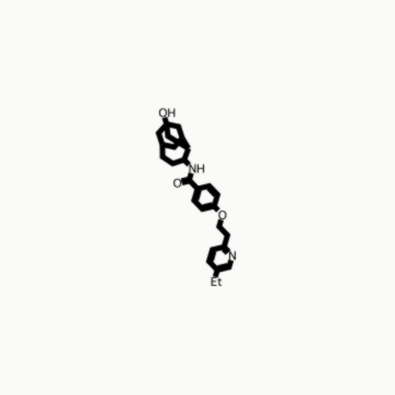 CCc1ccc(CCOc2ccc(C(=O)NC3CCC4CC5CC(O)(C4)CC53)cc2)nc1